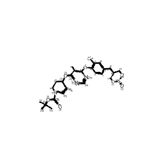 Cc1c(Oc2ccc(CC3COS(=O)OC3)cc2Cl)ncnc1OC1CCN(C(=O)OC(C)(C)C)CC1